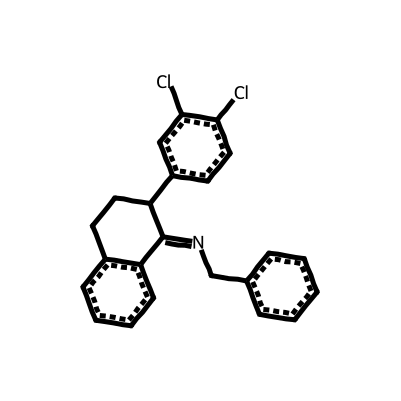 Clc1ccc(C2CCc3ccccc3C2=NCc2ccccc2)cc1Cl